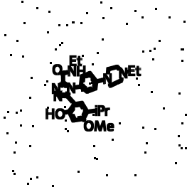 CCNC(=O)c1nnc(-c2cc(C(C)C)c(OC)cc2O)n1-c1ccc(N2CCN(CC)CC2)cc1